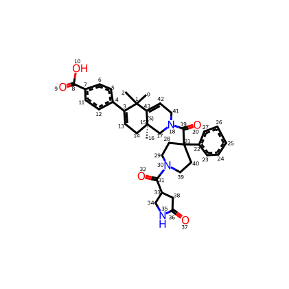 CC1(C)C(c2ccc(C(=O)O)cc2)=CC[C@]2(C)CN(C(=O)C3(c4ccccc4)CCN(C(=O)C4CNC(=O)C4)CC3)CC=C12